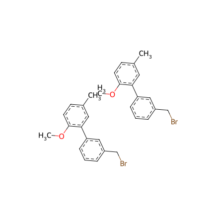 COc1ccc(C)cc1-c1cccc(CBr)c1.COc1ccc(C)cc1-c1cccc(CBr)c1